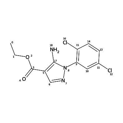 CCOC(=O)c1cnn(-c2cc(Cl)ccc2Cl)c1N